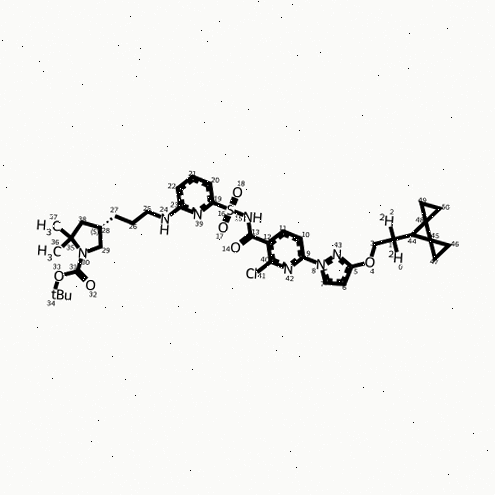 [2H]C([2H])(COc1ccn(-c2ccc(C(=O)NS(=O)(=O)c3cccc(NCCC[C@@H]4CN(C(=O)OC(C)(C)C)C(C)(C)C4)n3)c(Cl)n2)n1)C1C2(CC2)C12CC2